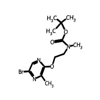 Cc1nc(Br)cnc1OCCN(C)C(=O)OC(C)(C)C